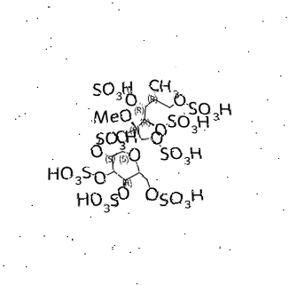 CO[C@@](COS(=O)(=O)O)(O[C@@H]1OC(COS(=O)(=O)O)[C@@H](OS(=O)(=O)O)C(OS(=O)(=O)O)[C@@H]1OS(=O)(=O)O)[C@H](OS(=O)(=O)O)[C@H](OS(=O)(=O)O)[C@H](C)COS(=O)(=O)O